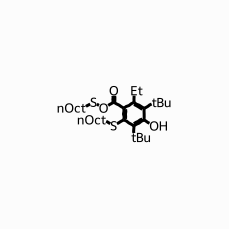 CCCCCCCCSOC(=O)c1c(CC)c(C(C)(C)C)c(O)c(C(C)(C)C)c1SCCCCCCCC